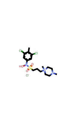 Cc1c(Cl)cc(N(O)S(=O)(=O)CCC[N+]2(C)CCN(C)CC2)cc1Cl.[Cl-]